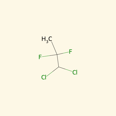 CC(F)(F)C(Cl)Cl